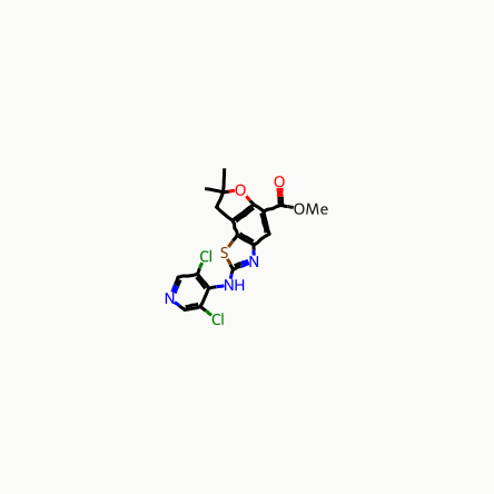 COC(=O)c1cc2nc(Nc3c(Cl)cncc3Cl)sc2c2c1OC(C)(C)C2